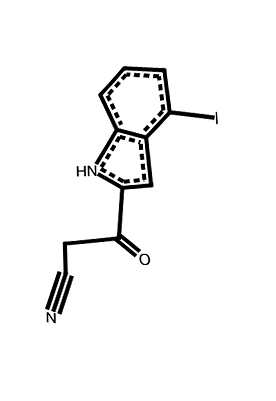 N#CCC(=O)c1cc2c(I)cccc2[nH]1